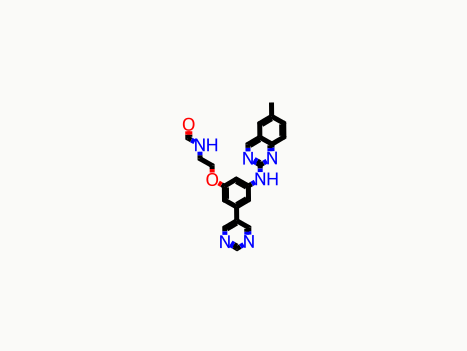 Cc1ccc2nc(Nc3cc(OCCNC=O)cc(-c4cncnc4)c3)ncc2c1